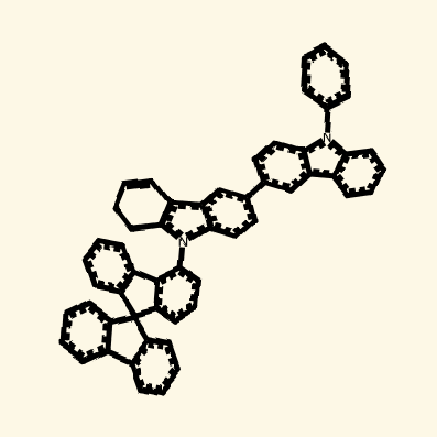 C1=Cc2c(n(-c3cccc4c3-c3ccccc3C43c4ccccc4-c4ccccc43)c3ccc(-c4ccc5c(c4)c4ccccc4n5-c4ccccc4)cc23)CC1